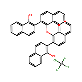 Oc1c(-c2ccc3ccccc3c2Oc2c(-c3ccc4ccccc4c3O)ccc3ccccc23)ccc2ccccc12.[Cl][Sn]([Cl])([Cl])[Cl]